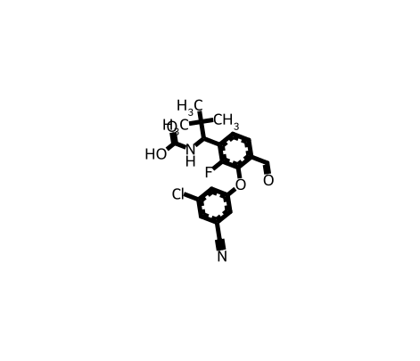 CC(C)(C)C(NC(=O)O)c1ccc(C=O)c(Oc2cc(Cl)cc(C#N)c2)c1F